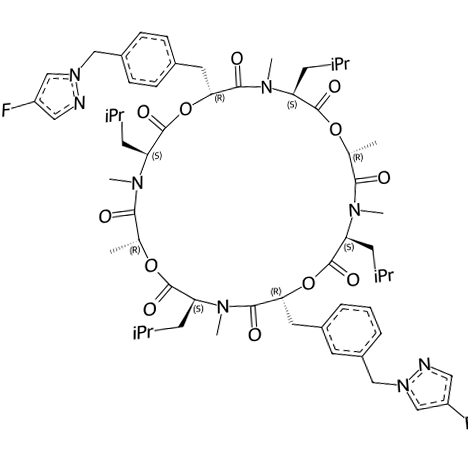 CC(C)C[C@H]1C(=O)O[C@H](Cc2cccc(Cn3cc(F)cn3)c2)C(=O)N(C)[C@@H](CC(C)C)C(=O)O[C@H](C)C(=O)N(C)[C@@H](CC(C)C)C(=O)O[C@H](Cc2ccc(Cn3cc(F)cn3)cc2)C(=O)N(C)[C@@H](CC(C)C)C(=O)O[C@H](C)C(=O)N1C